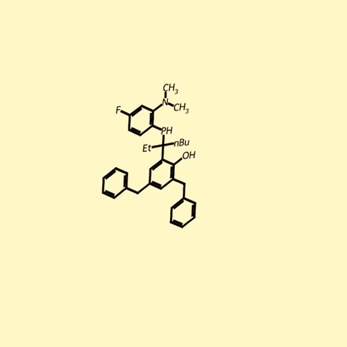 CCCCC(CC)(Pc1ccc(F)cc1N(C)C)c1cc(Cc2ccccc2)cc(Cc2ccccc2)c1O